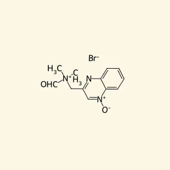 C[N+](C)(C=O)Cc1c[n+]([O-])c2ccccc2n1.[Br-]